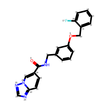 O=C(NCc1cccc(OCc2ccccc2F)c1)c1ccc2ncnn2c1